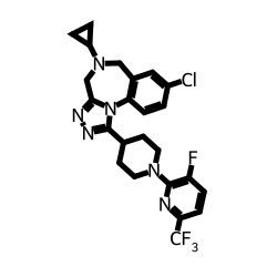 Fc1ccc(C(F)(F)F)nc1N1CCC(c2nnc3n2-c2ccc(Cl)cc2CN(C2CC2)C3)CC1